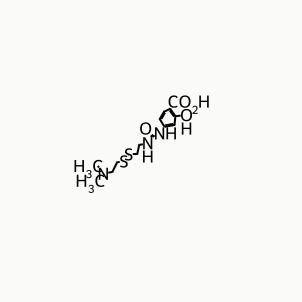 CN(C)CCSSCCNC(=O)Nc1ccc(C(=O)O)c(O)c1